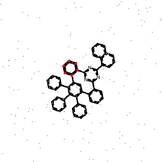 c1ccc(-c2nc(-c3ccccc3-c3cc(-c4ccccc4)c(-c4ccccc4)c(-c4ccccc4)c3-c3ccccc3)nc(-c3cccc4ccccc34)n2)cc1